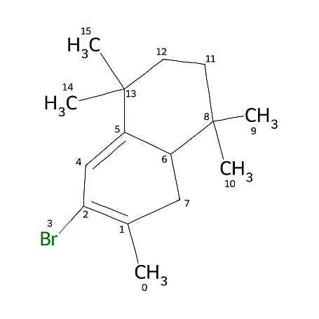 CC1=C(Br)C=C2C(C1)C(C)(C)CCC2(C)C